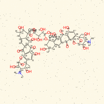 COC1(OC(=O)C(O)C(O)C(=O)OC2(OC)CC(C)(O)Cc3cc4c(c(O)c32)C(=O)c2c(O)cc3c(c2C4=O)OC2OC3(C)C(O)C(N(C)C)C2O)CC(C)(O)Cc2cc3c(c(O)c21)C(=O)c1c(O)cc2c(c1C3=O)OC1OC2(C)C(O)C(N(C)C)C1O